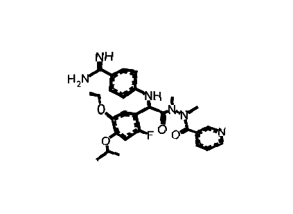 CCOc1cc(C(Nc2ccc(C(=N)N)cc2)C(=O)N(C)N(C)C(=O)c2cccnc2)c(F)cc1OC(C)C